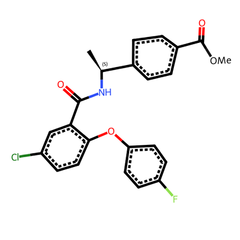 COC(=O)c1ccc([C@H](C)NC(=O)c2cc(Cl)ccc2Oc2ccc(F)cc2)cc1